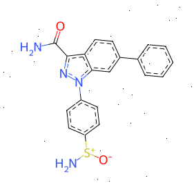 NC(=O)c1nn(-c2ccc([S+](N)[O-])cc2)c2cc(-c3ccccc3)ccc12